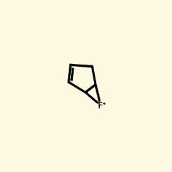 C1=CC2[F+]C2C1